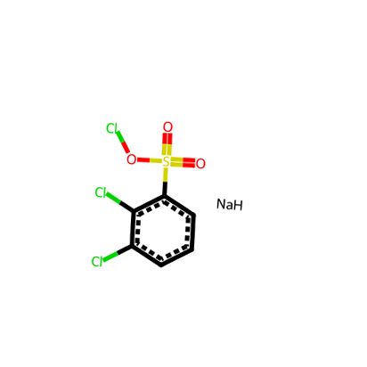 O=S(=O)(OCl)c1cccc(Cl)c1Cl.[NaH]